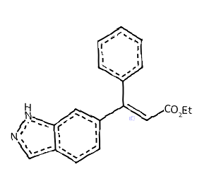 CCOC(=O)/C=C(\c1ccccc1)c1ccc2cn[nH]c2c1